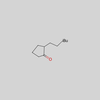 CCC(C)CCC1CCCC1=O